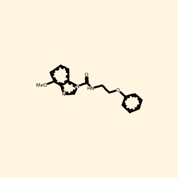 COc1cccc2c1ncn2C(=O)NCCOc1ccccc1